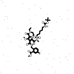 CCN1C[C@H](C)n2c(c(OC)c3c(=O)n(Cc4ccc(F)cc4C(=O)OC)nc(N(C)S(=O)(=O)CCCCCNC(=O)OC(C)(C)C)c32)C1=O